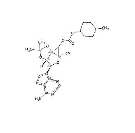 CC1(C)O[C@H]2[C@H](c3ccc4c(N)ncnn34)O[C@]3(C#N)C(OC(=O)O[C@H]4CC[C@H](C)CC4)[C@]23O1